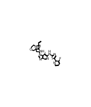 C=CC(=O)N1CCOCC1(CCn1cnc2cnc(Nc3ncc(-c4ncccc4F)s3)cc21)C(N)=O